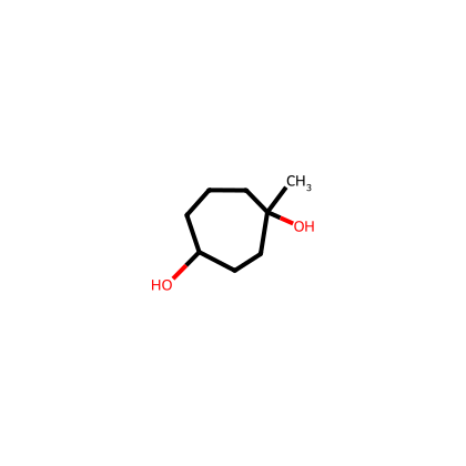 CC1(O)CCCC(O)CC1